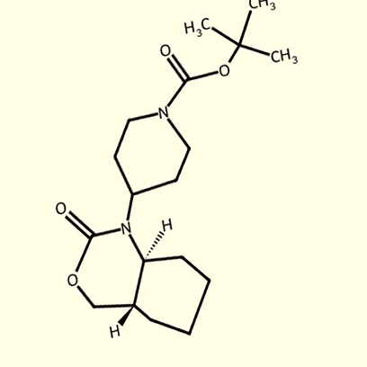 CC(C)(C)OC(=O)N1CCC(N2C(=O)OC[C@H]3CCCC[C@@H]32)CC1